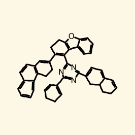 C1=CC(c2nc(C3=CC=C4C=CCCC4C3)nc(C3=C(C4=Cc5ccc6ccccc6c5CC4)CCc4oc5ccccc5c43)n2)=CCC1